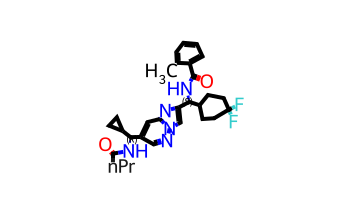 CCCC(=O)N[C@@H](c1cnn2cc([C@@H](NC(=O)c3ccccc3C)C3CCC(F)(F)CC3)nc2c1)C1CC1